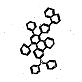 C1=CC(c2cc(-c3ccccc3)c3c(c4c(c5cc(N(c6ccccc6)c6ccccc6)ccc53)CCC=C4)c2-c2ccc(-c3cccc4ccccc34)cc2)=CCC1